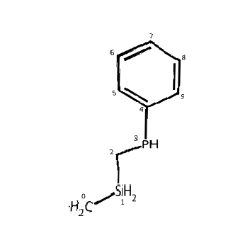 [CH2][SiH2]CPc1ccccc1